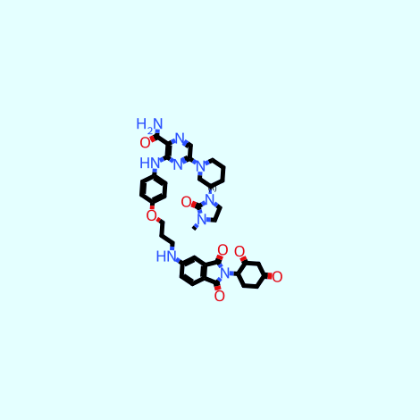 CN1CCN([C@@H]2CCCN(c3cnc(C(N)=O)c(Nc4ccc(OCCCNc5ccc6c(c5)C(=O)N(C5CCC(=O)CC5=O)C6=O)cc4)n3)C2)C1=O